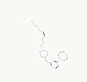 CCCCC/C=C\CCCN1CCC(Nc2nccc(N3CCCCCC3)n2)CC1